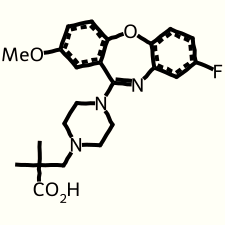 COc1ccc2c(c1)C(N1CCN(CC(C)(C)C(=O)O)CC1)=Nc1cc(F)ccc1O2